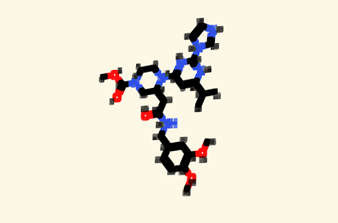 COC(=O)N1CCN(c2cc(C(C)C)nc(-n3ccnc3)n2)C(CC(=O)NCc2ccc(OC)c(OC)c2)C1